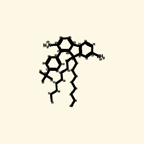 CCCCCCCCC1(CCCCCCCC)c2cc(N)ccc2-c2ccc(N)c(-c3ccc(C(C)(C)C)cc3)c21